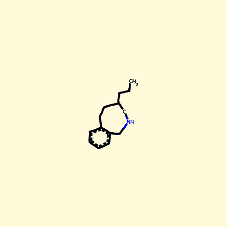 CCCC1CCc2ccccc2CNC1